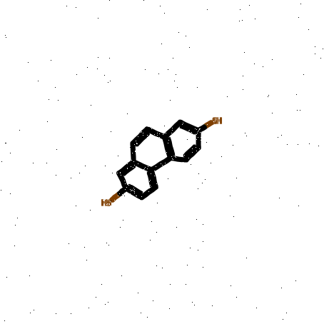 Sc1ccc2c(ccc3cc(S)ccc32)c1